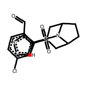 O=Cc1nn[nH]c1N1CC2CCC(C1)N2S(=O)(=O)c1cccc(Cl)c1